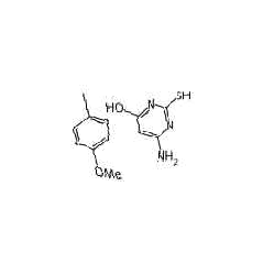 COc1ccc(C)cc1.Nc1cc(O)nc(S)n1